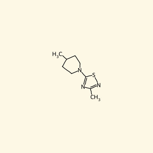 Cc1nsc(N2CCC(C)CC2)n1